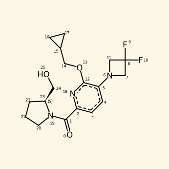 O=C(c1ccc(N2CC(F)(F)C2)c(OCC2CC2)n1)N1CCC[C@H]1CO